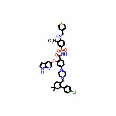 CC1(C)CCC(CN2CCN(c3ccc(C(=O)NS(=O)(=O)c4ccc(NCC5=CCSC=C5)c([N+](=O)[O-])c4)c(Oc4cnc5[nH]ccc5c4)c3)CC2)=C(c2ccc(Cl)cc2)C1